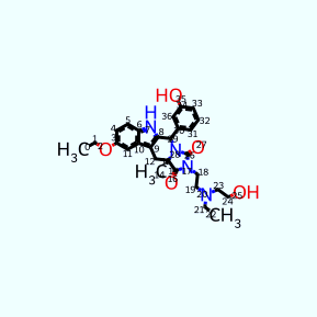 CCOc1ccc2[nH]c3c(c2c1)CC1(C)C(=O)N(CCN(CC)CCO)C(=O)N1C3c1cccc(O)c1